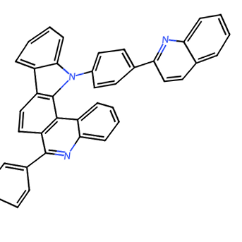 c1ccc(-c2nc3ccccc3c3c2ccc2c4ccccc4n(-c4ccc(-c5ccc6ccccc6n5)cc4)c23)cc1